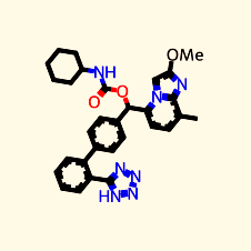 COc1cn2c(C(OC(=O)NC3CCCCC3)c3ccc(-c4ccccc4-c4nnn[nH]4)cc3)ccc(C)c2n1